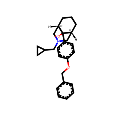 OC1(c2ccc(OCc3ccccc3)cc2)[C@@H]2CCC[C@H]1CN(CC1CC1)C2